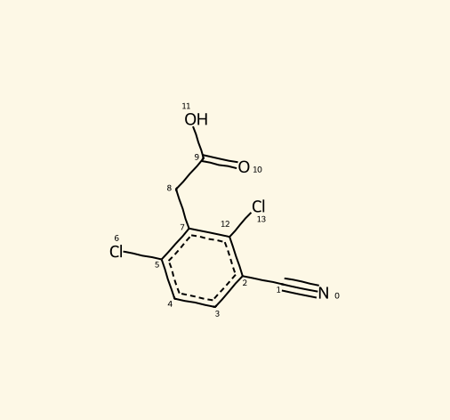 N#Cc1ccc(Cl)c(CC(=O)O)c1Cl